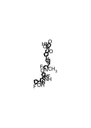 Cc1nc(O[C@H]2CN3c4cc(-c5cccc(F)c5O)nnc4NC[C@]3(CF)C2)c(F)cc1CN1CCN(c2ccc3c(c2)C(=O)N([C@H]2CCC(=O)NC2=O)C3)CC1